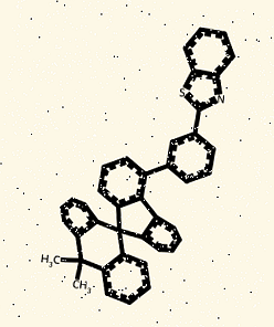 CC1(C)c2ccccc2C2(c3ccccc3-c3c(-c4cccc(-c5nc6ccccc6s5)c4)cccc32)c2ccccc21